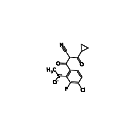 C[S+]([O-])c1c(C(=O)C(C#N)C(=O)C2CC2)ccc(Cl)c1F